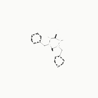 CN1C(=O)N(C)N(Cc2ccccc2)C(=O)N1Cc1ccccc1